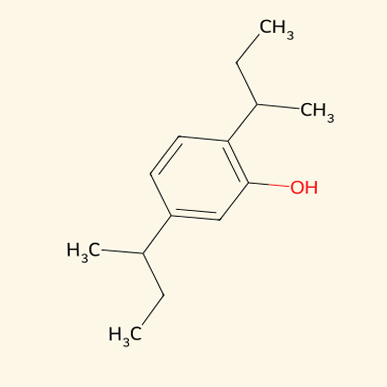 CCC(C)c1ccc(C(C)CC)c(O)c1